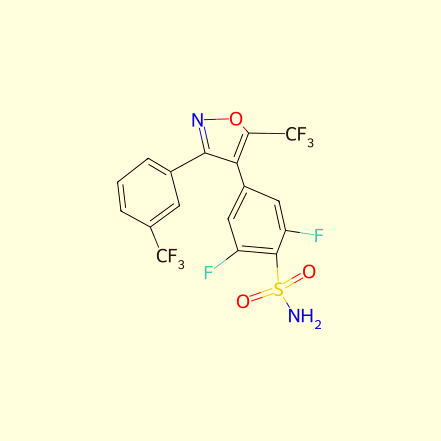 NS(=O)(=O)c1c(F)cc(-c2c(-c3cccc(C(F)(F)F)c3)noc2C(F)(F)F)cc1F